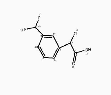 O=C(O)C(Cl)c1cccc(C(F)F)c1